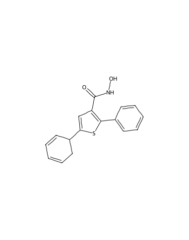 O=C(NO)c1cc(C2C=CC=CC2)sc1-c1ccccc1